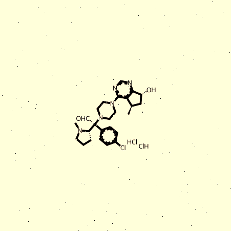 C[C@@H]1C[C@@H](O)c2ncnc(N3CCN([C@@](C=O)(c4ccc(Cl)cc4)[C@@H]4CCCN4C)CC3)c21.Cl.Cl